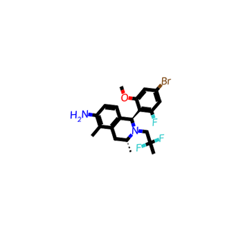 COc1cc(Br)cc(F)c1[C@@H]1c2ccc(N)c(C)c2C[C@@H](C)N1CC(C)(F)F